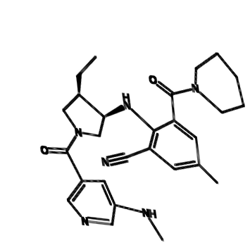 CC[C@@H]1CN(C(=O)c2cncc(NC)c2)C[C@@H]1Nc1c(C#N)cc(C)cc1C(=O)N1CCCCC1